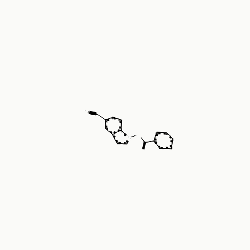 N#Cc1ccc2c(ccn2OC(=O)c2ccccc2)c1